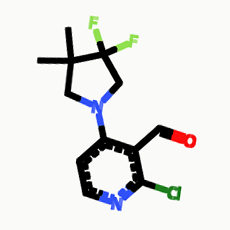 CC1(C)CN(c2ccnc(Cl)c2C=O)CC1(F)F